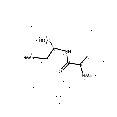 CNC(C)C(=O)N[C@H](CSC)C(=O)O